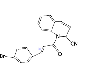 N#CC1C=Cc2ccccc2N1C(=O)/C=C/c1ccc(Br)cc1